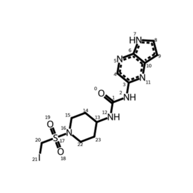 O=C(Nc1cnc2[nH]ccc2n1)NC1CCN(S(=O)(=O)CI)CC1